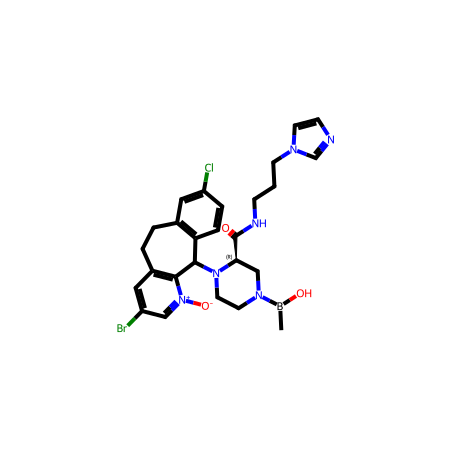 CB(O)N1CCN(C2c3ccc(Cl)cc3CCc3cc(Br)c[n+]([O-])c32)[C@@H](C(=O)NCCCn2ccnc2)C1